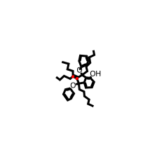 CCCCCCC(CCCCCC)(Oc1ccccc1)c1cccc(O)c1C(CCCCCC)(CCCCCC)Oc1ccccc1